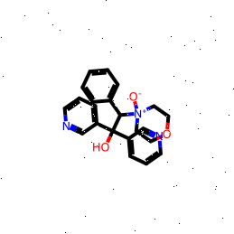 [O-][N+]1(C(c2ccccc2)C(O)(c2cccnc2)c2cccnc2)CCOCC1